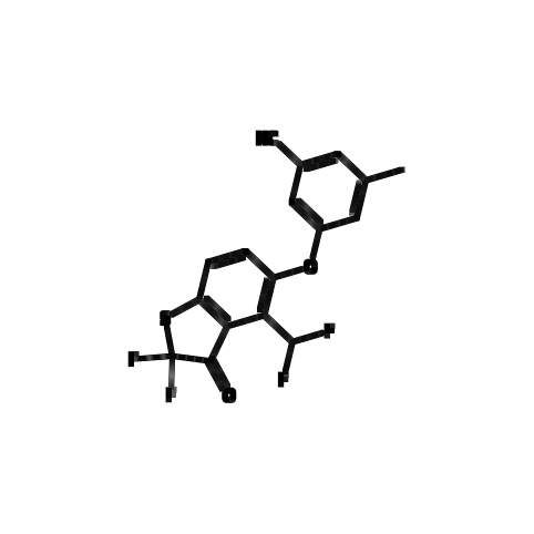 Cc1cc(C#N)cc(Oc2ccc3c(c2C(F)F)C(=O)C(F)(F)S3)c1